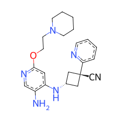 N#C[C@]1(c2ccccn2)C[C@@H](Nc2cc(OCCN3CCCCC3)ncc2N)C1